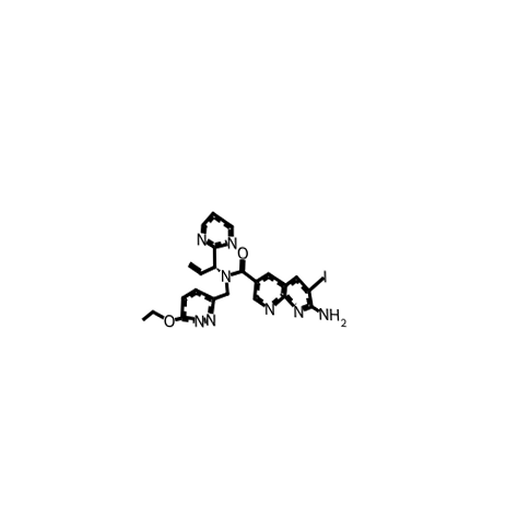 C=C[C@H](c1ncccn1)N(Cc1ccc(OCC)nn1)C(=O)c1cnc2nc(N)c(I)cc2c1